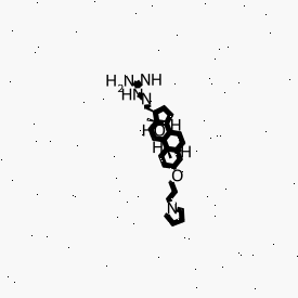 C[C@]12CC[C@H](OCCCN3CCCC3)C[C@H]1CC[C@@H]1[C@@H]2CC[C@]2(C)[C@@H](/C=N/NC(=N)N)CC[C@]12O